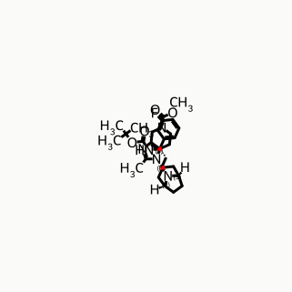 COC(=O)N1CCc2c(nc(C)n2[C@H]2C[C@H]3CC[C@@H](C2)N3CC[C@H](NC(=O)OC(C)(C)C)c2cccc(F)c2)C1